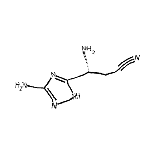 N#CC[C@@H](N)c1nc(N)n[nH]1